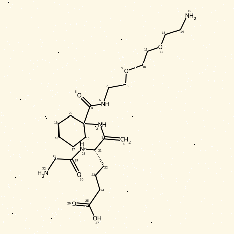 C=C(NC1(C(=O)NCCOCCOCCN)CCCCC1)[C@H](CCCC(=O)O)NC(=O)CN